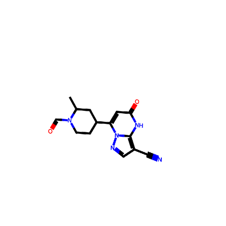 CC1CC(c2cc(=O)[nH]c3c(C#N)cnn23)CCN1C=O